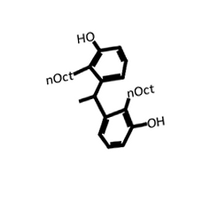 CCCCCCCCc1c(O)cccc1C(C)c1cccc(O)c1CCCCCCCC